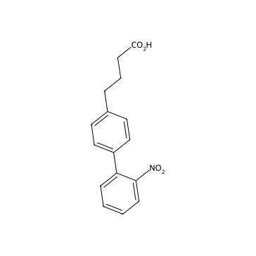 O=C(O)CCCc1ccc(-c2ccccc2[N+](=O)[O-])cc1